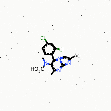 CC(=O)c1cn2c(-c3ccc(Cl)cc3Cl)c(N(C)C(=O)O)c(C)nc2n1